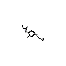 CC/C(C)=N/c1ccc(OCC2CC2)cc1C